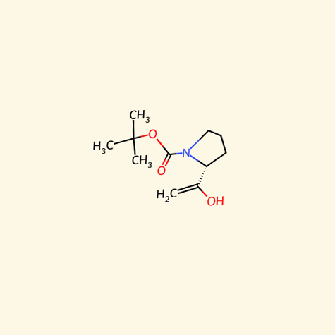 C=C(O)[C@H]1CCCN1C(=O)OC(C)(C)C